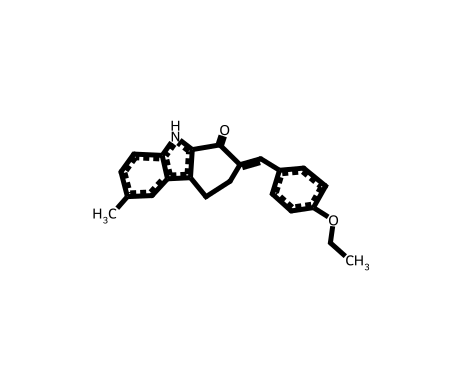 CCOc1ccc(/C=C2\CCc3c([nH]c4ccc(C)cc34)C2=O)cc1